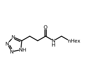 CCCCCCCNC(=O)CCc1nnn[nH]1